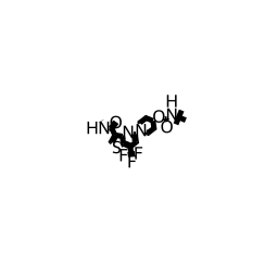 CNC(=O)c1csc2c(C(F)(F)F)cc(N3CCC(OC(=O)NC(C)(C)C)CC3)nc12